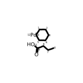 C1CCCCC1.CCCC(=O)O.[Pd]